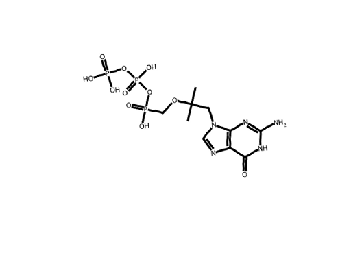 CC(C)(Cn1cnc2c(=O)[nH]c(N)nc21)OCP(=O)(O)OP(=O)(O)OP(=O)(O)O